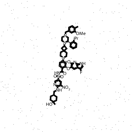 COc1cc(CN2CCN(C3CC4(CCN(c5ccc(C(=O)NS(=O)(=O)c6cnc(NCC7CCC(C)(O)CC7)c([N+](=O)[O-])c6)c(Oc6cc7c(F)c[nH]c7nc6OC)c5)CC4)C3)[C@H](c3ccccc3C(C)C)C2)ccc1C